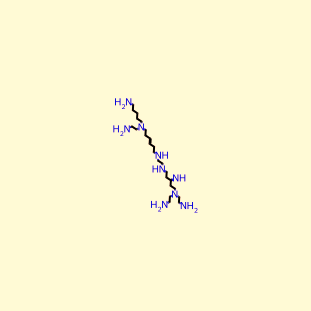 N=C(CCNCCNCC/C=C/CCN(CCN)CCCCCN)CCN(CCN)CCN